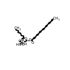 CC#CC#CC#CC#CC#CC#CC#CC(=O)OC[C@H](COP(=O)(O)O)OC(=O)CCCCCCC